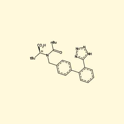 CCCCC(=O)N(Cc1ccc(-c2ccccc2-c2nnn[nH]2)cc1)[C@H](C(=O)O)C(C)(C)C